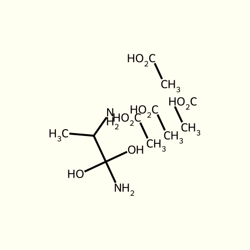 CC(=O)O.CC(=O)O.CC(=O)O.CC(=O)O.CC(N)C(N)(O)O